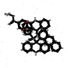 COC(=O)c1ccc2[nH]c(P(=O)(OC3c4ccccc4Oc4ccccc43)C3(c4cccc5cc6ccccc6cc45)c4ccccc4Oc4ccccc43)nc2c1